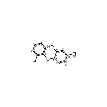 Cc1c[c]ccc1Oc1nnc(Cl)cc1O